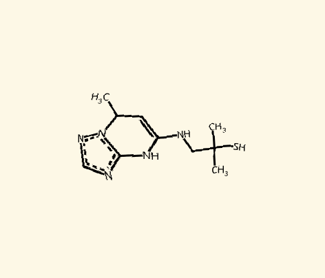 CC1C=C(NCC(C)(C)S)Nc2ncnn21